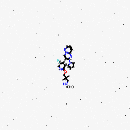 CC(C)(CNC=O)COc1ncc(F)cc1[C@H]1CCCN1C1=NC2C#CC=NN2C=C1